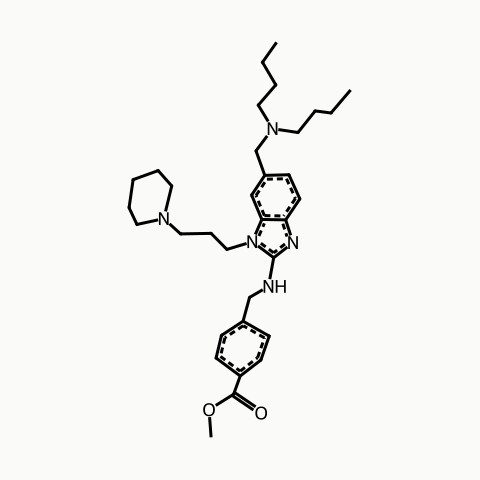 CCCCN(CCCC)Cc1ccc2nc(NCc3ccc(C(=O)OC)cc3)n(CCCN3CCCCC3)c2c1